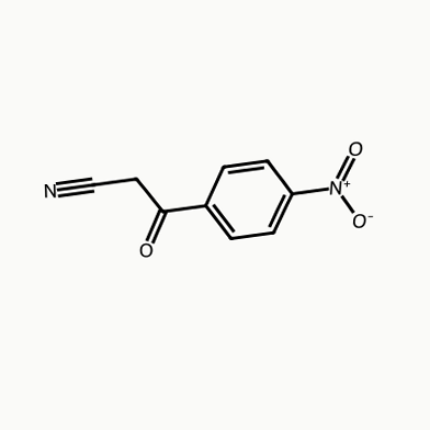 N#CCC(=O)c1ccc([N+](=O)[O-])cc1